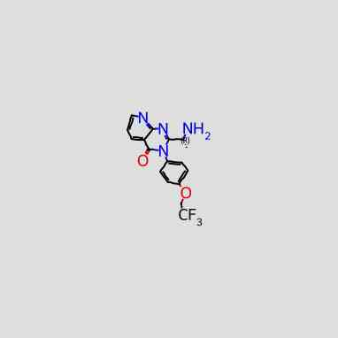 C[C@@H](N)c1nc2ncccc2c(=O)n1-c1ccc(OCC(F)(F)F)cc1